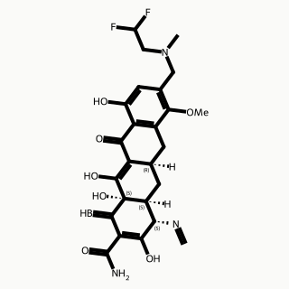 B=C1C(C(N)=O)=C(O)[C@@H](N=C)[C@@H]2C[C@@H]3Cc4c(OC)c(CN(C)CC(F)F)cc(O)c4C(=O)C3=C(O)[C@]12O